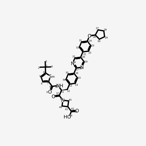 CC(C)(C)c1ccc(C(=O)N[C@@H](Cc2ccc(-c3ncc(-c4ccc(OC5CCCC5)cc4)cn3)cc2)C(=O)N2CC(C(=O)O)C2)s1